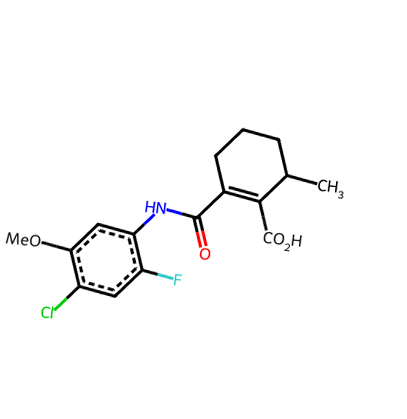 COc1cc(NC(=O)C2=C(C(=O)O)C(C)CCC2)c(F)cc1Cl